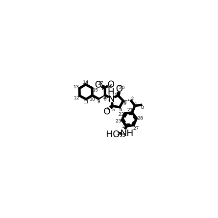 CC(C[C@@H]1CC(=O)N([C@@H](CC2CCCCC2)C(=O)O)C1=O)c1ccc(NO)cc1